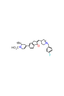 CC(C)(C)C1CC(c2ccc3c(c2)CC(=CC2CCN(Cc4ccc(F)cc4)CC2)C3=O)=CCN1C(=O)O